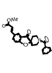 COC(=O)C=Cc1ccc2c(c1)C(=O)C1(CCN(C(=O)c3ccccc3)CC1)O2